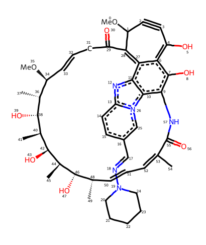 COC1C#CC(O)=c2c(O)c3c4c(nc5ccc(/C=N/N6CCCCC6)cn54)c2=C1C(=O)C/C=C/[C@H](OC)[C@@H](C)[C@@H](O)[C@H](C)[C@H](O)[C@H](C)[C@@H](O)[C@@H](C)/C=C/C=C(/C)C(=O)N3